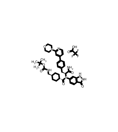 CC(C)(C)OC(=O)NC[C@H]1CC[C@H](C(=O)N(c2ccc3c(=O)[nH][nH]c3c2)[C@@H](Cc2ccc(-c3ccnc(N4CCOCC4)c3)cc2)C(N)=O)CC1.O=C(O)C(F)(F)F